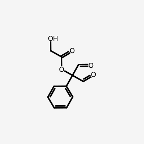 O=CC(C=O)(OC(=O)CO)c1ccccc1